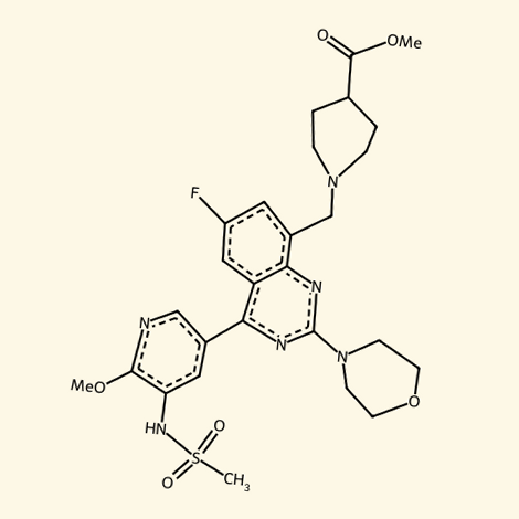 COC(=O)C1CCN(Cc2cc(F)cc3c(-c4cnc(OC)c(NS(C)(=O)=O)c4)nc(N4CCOCC4)nc23)CC1